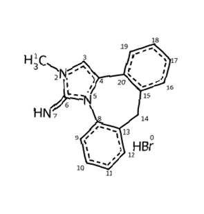 Br.Cn1cc2n(c1=N)-c1ccccc1Cc1ccccc1-2